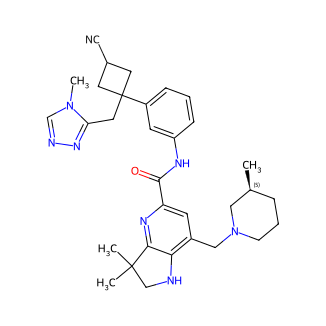 C[C@H]1CCCN(Cc2cc(C(=O)Nc3cccc(C4(Cc5nncn5C)CC(C#N)C4)c3)nc3c2NCC3(C)C)C1